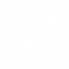 Cc1ccc2c(c1)c(C(=O)N1CCCN(c3ccccn3)CC1)c(-c1ccc([N+](=O)[O-])cc1)n2C.Cl